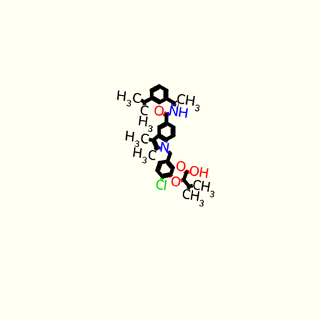 Cc1c(C)n(Cc2ccc(Cl)c(OC(C(=O)O)C(C)C)c2)c2ccc(C(=O)N[C@@H](C)c3cccc(C(C)C)c3)cc12